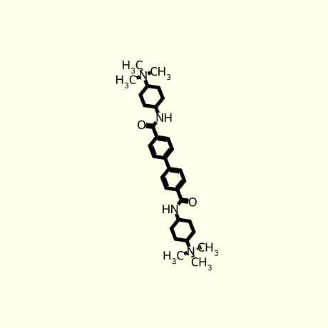 C[N+](C)(C)C1CCC(NC(=O)c2ccc(-c3ccc(C(=O)NC4CCC([N+](C)(C)C)CC4)cc3)cc2)CC1